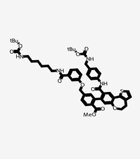 COC(=O)c1ccc(COc2cccc(C(=O)NCCCCCCNC(=O)OC(C)(C)C)c2)cc1-c1cc2c(cc1C(=O)Nc1ccc(CNC(=O)OC(C)(C)C)cc1)-c1sccc1CCO2